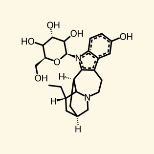 CC[C@H]1C[C@H]2C[C@H]3c4c(c5cc(O)ccc5n4[C@H]4O[C@@H](CO)C(O)[C@H](O)C4O)CCN(C2)C13